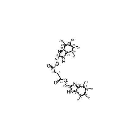 Cc1c(C)c(C)c2[nH]c(SOC(=O)CCC(=O)OSc3nc4c(C)c(C)c(C)c(C)c4[nH]3)nc2c1C